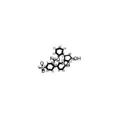 CS(=O)(=O)c1ccc(-c2ccc3nc4c(n3c2)[C@@H](c2ccccc2OC(F)F)C[C@H]4O)cc1